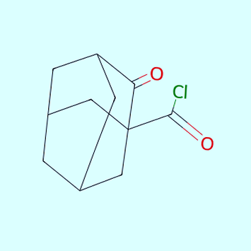 O=C(Cl)C12CC3CC(CC(C3)C1=O)C2